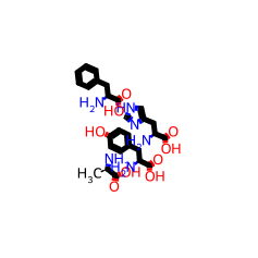 C[C@H](N)C(=O)O.N[C@@H](Cc1c[nH]cn1)C(=O)O.N[C@@H](Cc1ccc(O)cc1)C(=O)O.N[C@@H](Cc1ccccc1)C(=O)O